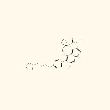 Cn1c(=O)n2c3c4c(c(-c5ccc(OCCCN6CCCC6)nc5)c(F)cc4ncc31)OCC21CCC1